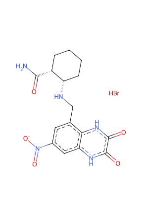 Br.NC(=O)[C@@H]1CCCC[C@@H]1NCc1cc([N+](=O)[O-])cc2[nH]c(=O)c(=O)[nH]c12